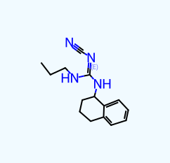 CCCN/C(=N\C#N)NC1CCCc2ccccc21